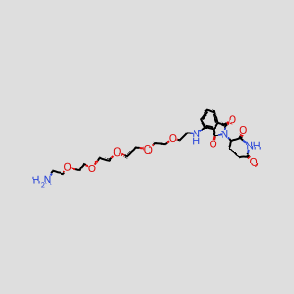 NCCOCCOCCOCCOCCOCCNc1cccc2c1C(=O)N(C1CCC(=O)NC1=O)C2=O